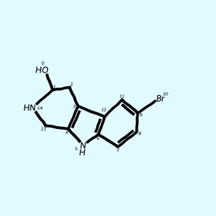 OC1Cc2c([nH]c3ccc(Br)cc23)CN1